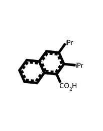 CC(C)c1cc2ccccc2c(C(=O)O)c1C(C)C